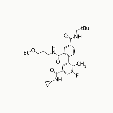 CCOCCCNC(=O)c1cc(C(=O)NCC(C)(C)C)ccc1-c1cc(C(=O)NC2CC2)cc(F)c1C